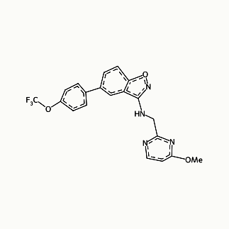 COc1ccnc(CNc2noc3ccc(-c4ccc(OC(F)(F)F)cc4)cc23)n1